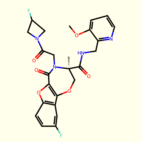 COc1cccnc1CNC(=O)[C@@]1(C)COc2c(oc3ccc(F)cc23)C(=O)N1CC(=O)N1CC(F)C1